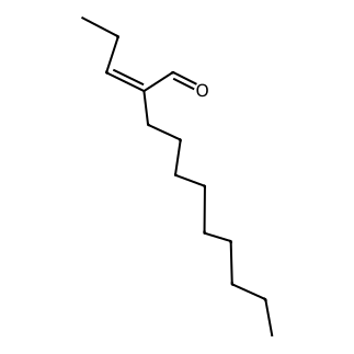 CCC=C(C=O)CCCCCCCCC